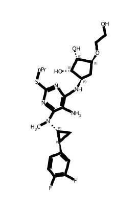 CCCSc1nc(N[C@@H]2C[C@H](OCCO)[C@@H](O)[C@H]2O)c(N)c(N(C)[C@@H]2C[C@H]2c2ccc(F)c(F)c2)n1